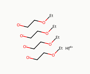 CCOCC[O-].CCOCC[O-].CCOCC[O-].CCOCC[O-].[Hf+4]